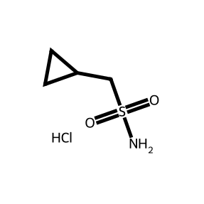 Cl.NS(=O)(=O)CC1CC1